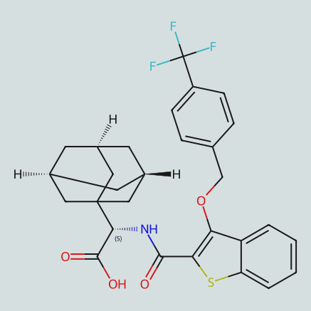 O=C(N[C@H](C(=O)O)C12C[C@H]3C[C@H](C1)C[C@@H](C2)C3)c1sc2ccccc2c1OCc1ccc(C(F)(F)F)cc1